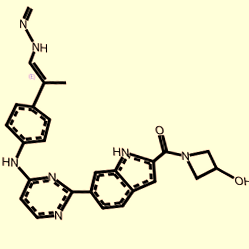 C=NN/C=C(\C)c1ccc(Nc2ccnc(-c3ccc4cc(C(=O)N5CC(O)C5)[nH]c4c3)n2)cc1